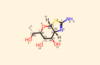 C[C@@H](O)[C@H]1O[C@@H]2SC(N)=N[C@@H]2[C@@H](O)[C@@H]1O